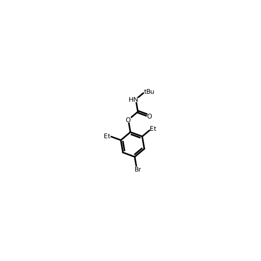 CCc1cc(Br)cc(CC)c1OC(=O)NC(C)(C)C